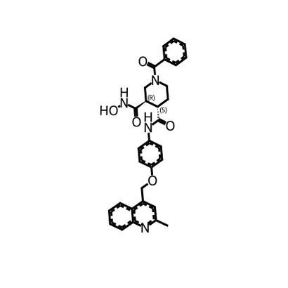 Cc1cc(COc2ccc(NC(=O)[C@H]3CCN(C(=O)c4ccccc4)C[C@@H]3C(=O)NO)cc2)c2ccccc2n1